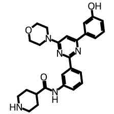 O=C(Nc1cccc(-c2nc(-c3cccc(O)c3)cc(N3CCOCC3)n2)c1)C1CCNCC1